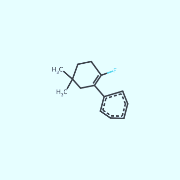 CC1(C)CCC(F)=C(c2ccccc2)C1